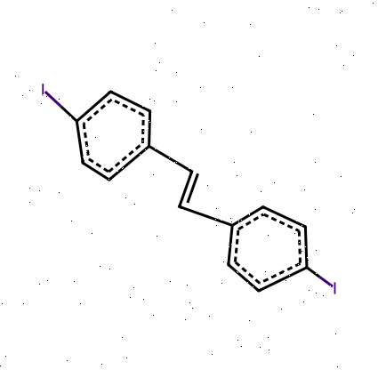 Ic1ccc(/C=C/c2ccc(I)cc2)cc1